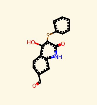 O=Cc1ccc2c(O)c(Sc3ccccc3)c(=O)[nH]c2c1